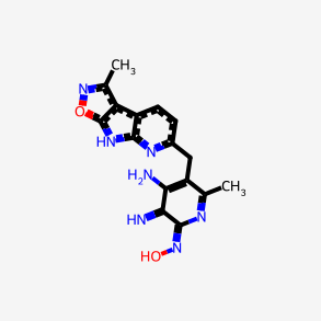 CC1=N/C(=N/O)C(=N)C(N)=C1Cc1ccc2c(n1)[nH]c1onc(C)c12